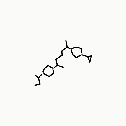 CCC(C)N1CCN(C(C)CCCC(C)N2CCN(C3CC3)CC2)CC1